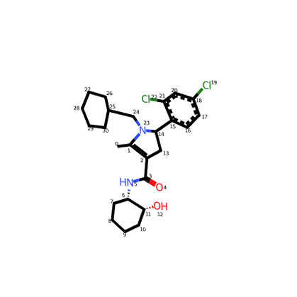 CC1=C(C(=O)N[C@H]2CCCC[C@H]2O)CC(c2ccc(Cl)cc2Cl)N1CC1CCCCC1